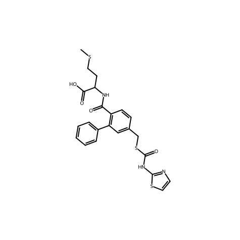 CSCCC(NC(=O)c1ccc(CSC(=O)Nc2nccs2)cc1-c1ccccc1)C(=O)O